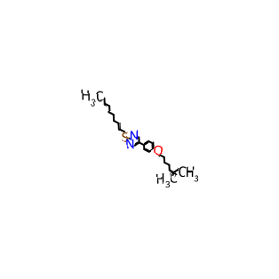 CCCCCCCCCCSc1ncc(-c2ccc(OCCCCC[C@@H](C)CC)cc2)cn1